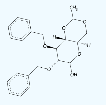 CC1OC[C@H]2OC(O)[C@H](OCc3ccccc3)[C@@H](OCc3ccccc3)[C@@H]2O1